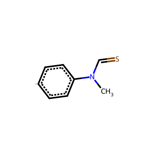 CN(C=S)c1cc[c]cc1